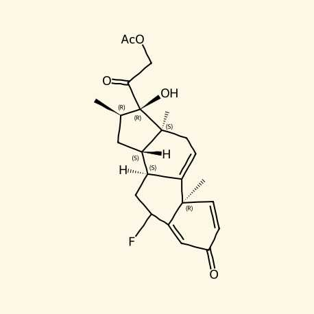 CC(=O)OCC(=O)[C@@]1(O)[C@H](C)C[C@H]2[C@@H]3CC(F)C4=CC(=O)C=C[C@]4(C)C3=CC[C@@]21C